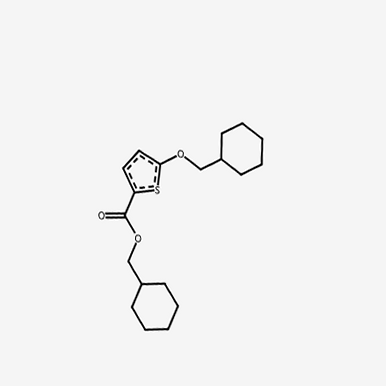 O=C(OCC1CCCCC1)c1ccc(OCC2CCCCC2)s1